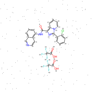 O=C(Nc1cccc2cnccc12)c1nc(-c2ccccc2Cl)n2ccccc12.O=C(O)C(F)(F)F.O=C(O)C(F)(F)F